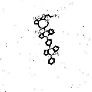 CC/C=C\C1NC/C=C(/N2C3=C(CC=C3)N(c3ccc(N(C4=C=CC=C4)C4=C(N(C)c5ccccc5)CC=C4)cc3)c3ccccc32)C(C)CC2=CCC=C2C1(C)C